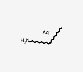 CCCCCCCC/C=C\CCCCCCCCN.[Ag+]